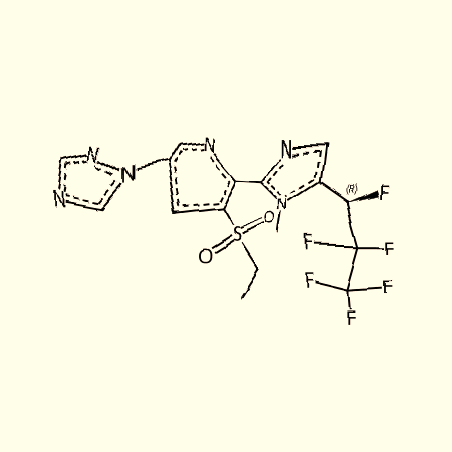 CCS(=O)(=O)c1cc(-n2cncn2)cnc1-c1ncc([C@@H](F)C(F)(F)C(F)(F)F)n1C